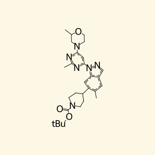 Cc1nc(N2CCOC(C)C2)cc(-n2ncc3cc(C)c(C4CCN(C(=O)OC(C)(C)C)CC4)cc32)n1